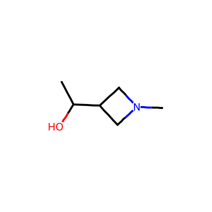 CC(O)C1CN(C)C1